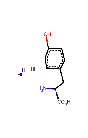 I.I.I.N[C@@H](Cc1ccc(O)cc1)C(=O)O